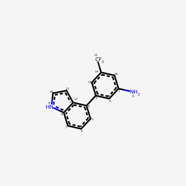 Nc1cc(-c2cccc3[nH]ccc23)cc(C(F)(F)F)c1